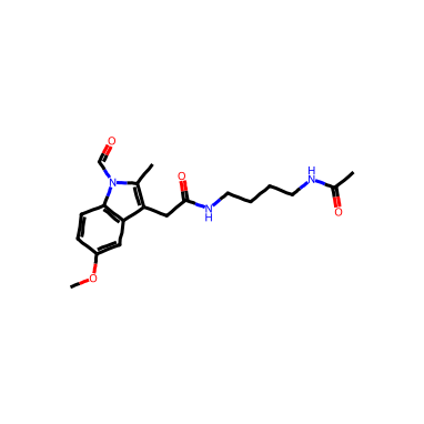 COc1ccc2c(c1)c(CC(=O)NCCCCNC(C)=O)c(C)n2C=O